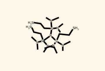 CN(C)[Si](CC[SiH3])(N(C)C)N([Si](CC[SiH3])(N(C)C)N(C)C)[Si](CC[SiH3])(N(C)C)N(C)C